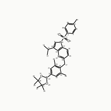 Cc1ccc(S(=O)(=O)n2cc(C(C)C)c3nc(Cc4c(C)cc(B5OC(C)(C)C(C)(C)O5)cc4C)ccc32)cc1